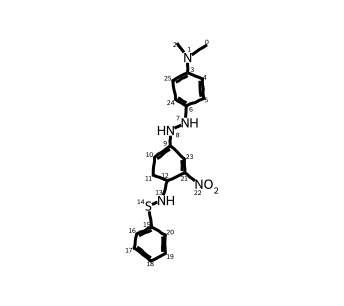 CN(C)c1ccc(NNC2=CCC(NSc3ccccc3)C([N+](=O)[O-])=C2)cc1